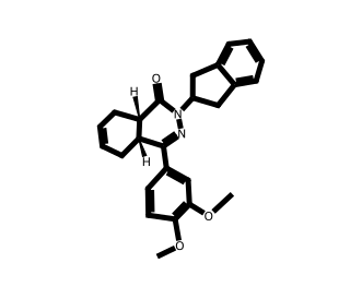 COc1ccc(C2=NN(C3Cc4ccccc4C3)C(=O)[C@H]3CC=CC[C@@H]23)cc1OC